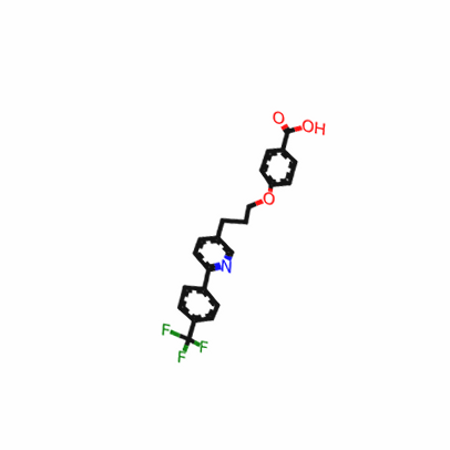 O=C(O)c1ccc(OCCCc2ccc(-c3ccc(C(F)(F)F)cc3)nc2)cc1